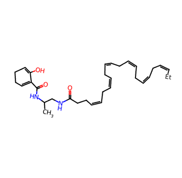 CC/C=C\C/C=C\C/C=C\C/C=C\C/C=C\C/C=C\CCC(=O)NCC(C)NC(=O)C1=CCCC=C1O